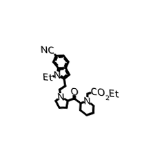 CCOC(=O)CN1CCCCC1C(=O)C1CCCN1CCc1cc2ccc(C#N)cc2n1CC